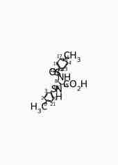 Cc1ccc(SNC(CN[S+]([O-])c2ccc(C)cc2)C(=O)O)cc1